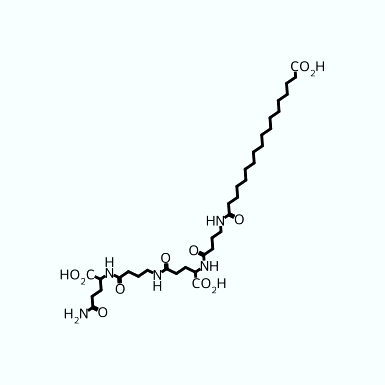 NC(=O)CCC(NC(=O)CCCNC(=O)CCC(NC(=O)CCCNC(=O)CCCCCCCCCCCCCCCCC(=O)O)C(=O)O)C(=O)O